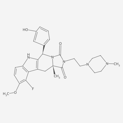 COc1ccc2[nH]c3c(c2c1F)C[C@@]1(C)C(=O)N(CCN2CCN(C)CC2)C(=O)N1[C@@H]3c1cccc(O)c1